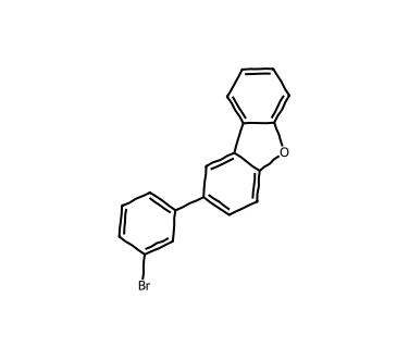 Brc1cccc(-c2ccc3oc4ccccc4c3c2)c1